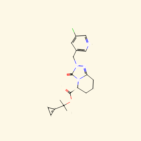 CC(C)(OC(=O)[C@@H]1CCCc2nn(Cc3cncc(Cl)c3)c(=O)n21)C1=CC1